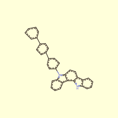 c1ccc(-c2ccc(-c3ccc(-n4c5ccccc5c5c6[nH]c7ccccc7c6ccc54)cc3)cc2)cc1